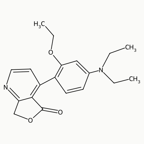 CCOc1cc(N(CC)CC)ccc1-c1ccnc2c1C(=O)OC2